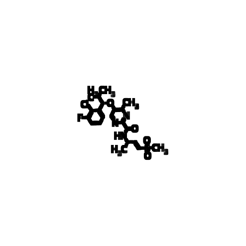 Cc1nc(C(=O)N[C@H](C)/C=C/S(C)(=O)=O)ncc1O[C@H](c1cccc(F)c1Cl)C(C)C